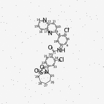 O=C(Nc1ccc(Cl)c(-c2ccc3ncccc3n2)c1)c1ccc(N2CCCCCS2(=O)=O)cc1Cl